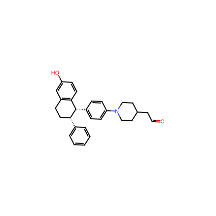 O=CCC1CCN(c2ccc([C@H]3c4ccc(O)cc4CC[C@H]3c3ccccc3)cc2)CC1